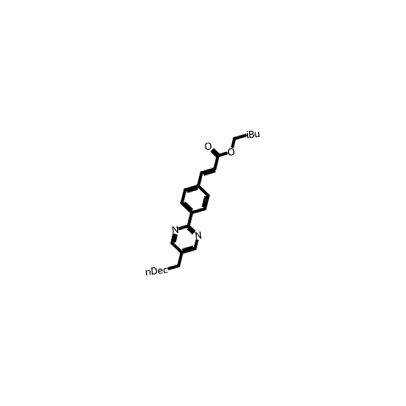 CCCCCCCCCCCc1cnc(-c2ccc(/C=C/C(=O)OCC(C)CC)cc2)nc1